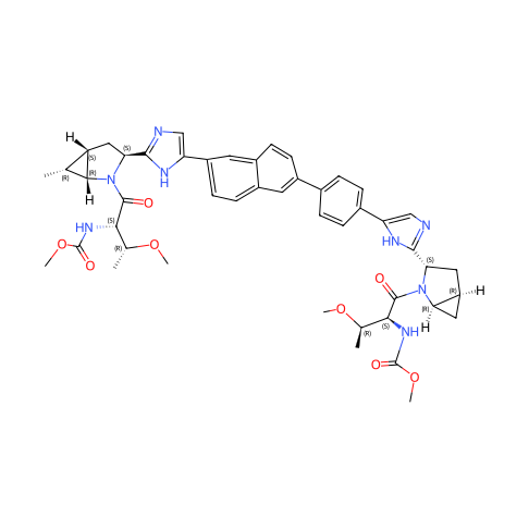 COC(=O)N[C@H](C(=O)N1[C@@H]2[C@H](C)[C@@H]2C[C@H]1c1ncc(-c2ccc3cc(-c4ccc(-c5cnc([C@@H]6C[C@H]7C[C@H]7N6C(=O)[C@@H](NC(=O)OC)[C@@H](C)OC)[nH]5)cc4)ccc3c2)[nH]1)[C@@H](C)OC